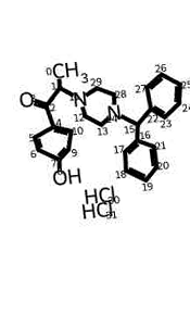 CC(C(=O)c1ccc(O)cc1)N1CCN(C(c2ccccc2)c2ccccc2)CC1.Cl.Cl